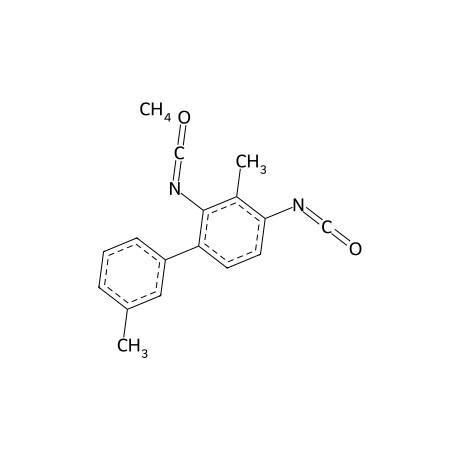 C.Cc1cccc(-c2ccc(N=C=O)c(C)c2N=C=O)c1